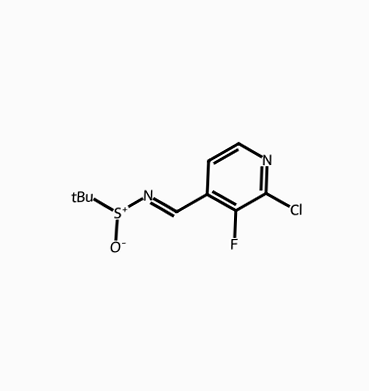 CC(C)(C)[S+]([O-])/N=C/c1ccnc(Cl)c1F